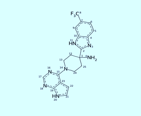 NC1(c2nc3ccc(C(F)(F)F)cc3[nH]2)CCN(c2ncnc3[nH]ccc23)CC1